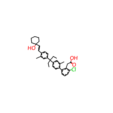 CCC(CC)(c1ccc(C=CC2(O)CCCCC2)c(C)c1)c1ccc(-c2cccc(Cl)c2CC(=O)O)c(C)c1